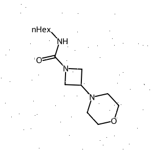 CCCCCCNC(=O)N1CC(N2CCOCC2)C1